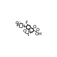 CC1COc2c(N3CC[N+](C)([O-])CC3)c(F)cc3c(=O)c(C(=O)O)cn1c23